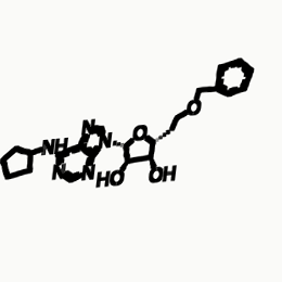 O[C@@H]1[C@H](O)[C@@H](CCOCc2ccccc2)O[C@H]1n1cnc2c(NC3CCCC3)ncnc21